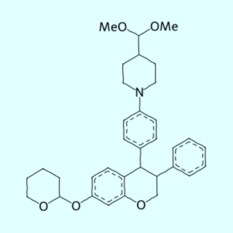 COC(OC)C1CCN(c2ccc(C3c4ccc(OC5CCCCO5)cc4OCC3c3ccccc3)cc2)CC1